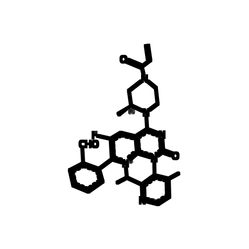 C=CC(=O)N1CCN(c2nc(=O)n3c4c2cc(F)c(-c2ccccc2C=O)[n+]4C(C)c2nccc(C)c2-3)[C@@H](C)C1